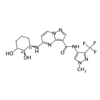 Cn1cc(NC(=O)c2cnn3ccc(N[C@@H]4CCCC(O)[C@@H]4O)nc23)c(C(F)(F)F)n1